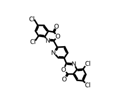 O=c1oc(-c2ccc(-c3nc4c(Cl)cc(Cl)cc4c(=O)o3)nc2)nc2c(Cl)cc(Cl)cc12